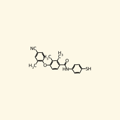 Cc1cc(C#N)ccc1Oc1ccc(C(=O)Nc2ccc(S)cc2)c(C)c1C